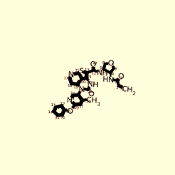 C=CC(=O)N[C@@H]1COC[C@@H]1NC(=O)c1sc2nccc3c2c1NC(=O)N3c1cnc(Oc2ccccc2)cc1C